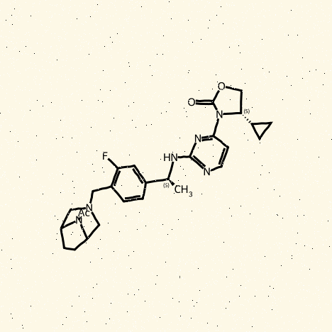 CC(=O)N1C2CCC1CN(Cc1ccc([C@H](C)Nc3nccc(N4C(=O)OC[C@@H]4C4CC4)n3)cc1F)C2